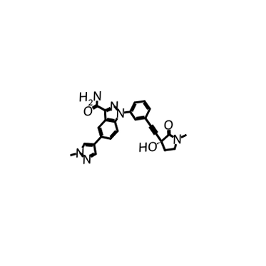 CN1CC[C@@](O)(C#Cc2cccc(-n3nc(C(N)=O)c4cc(-c5cnn(C)c5)ccc43)c2)C1=O